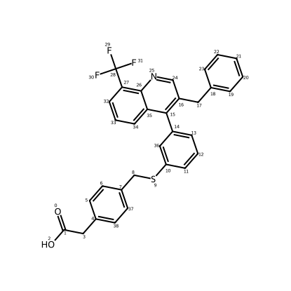 O=C(O)Cc1ccc(CSc2cccc(-c3c(Cc4ccccc4)cnc4c(C(F)(F)F)cccc34)c2)cc1